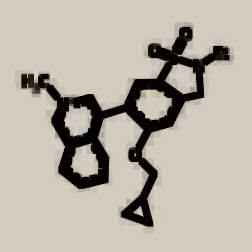 CCN1Cc2cc(OCC3CC3)c(-c3c[n+](C)cc4ccccc34)cc2S1(=O)=O